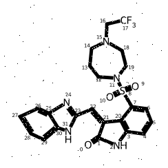 O=C1Nc2cccc(S(=O)(=O)N3CCCN(CC(F)(F)F)CC3)c2/C1=C/c1nc2ccccc2[nH]1